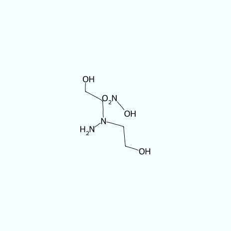 NN(CCO)CCO.O=[N+]([O-])O